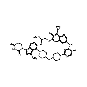 CNC(=O)COc1cc2cc(Nc3nc(N4CCN(CC5CCN(c6cccc7c(C8CCC(=O)NC8=O)nn(C)c67)CC5)CC4)ncc3Cl)cnc2n(C2CC2)c1=O